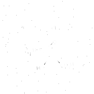 C=C/N=C(\C)[C@]1(O)[C@H](O)[C@H](C(=O)O)[C@@H](c2ccccc2)[C@@]1(OC(C)Cl)c1ccc(Br)cc1